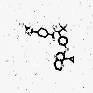 Cc1nnc(C2CCC(C(=O)N(C)[C@H](c3ccc(Nc4cnc5cccnc5c4C4CC4)cc3)C(F)(F)F)CC2)o1